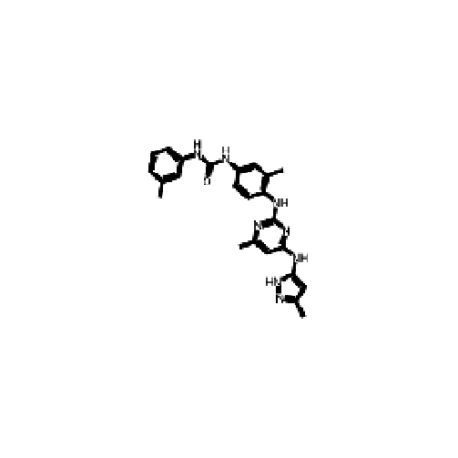 Cc1cccc(NC(=O)Nc2ccc(Nc3nc(C)cc(Nc4cc(C)n[nH]4)n3)c(C)c2)c1